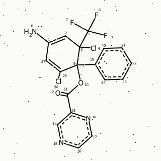 NC1=CC(Cl)(C(F)(F)F)C(OC(=O)c2cnccn2)(c2ccccc2)C(Cl)=C1